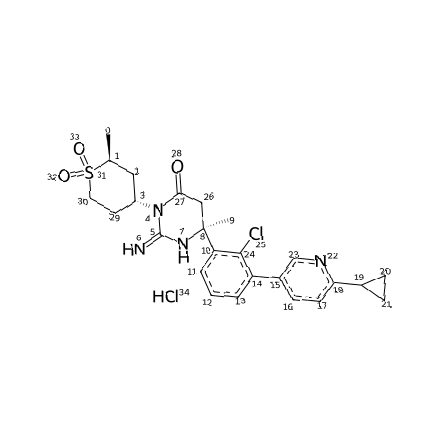 C[C@H]1C[C@H](N2C(=N)N[C@](C)(c3cccc(-c4ccc(C5CC5)nc4)c3Cl)CC2=O)CCS1(=O)=O.Cl